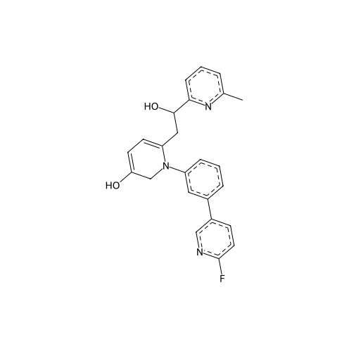 Cc1cccc(C(O)CC2=CC=C(O)CN2c2cccc(-c3ccc(F)nc3)c2)n1